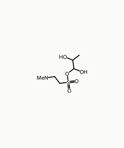 CNCCS(=O)(=O)OC(O)C(C)O